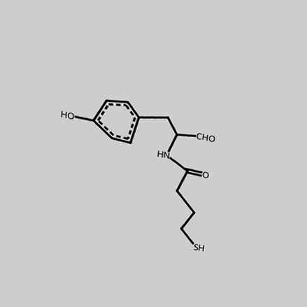 O=CC(Cc1ccc(O)cc1)NC(=O)CCCS